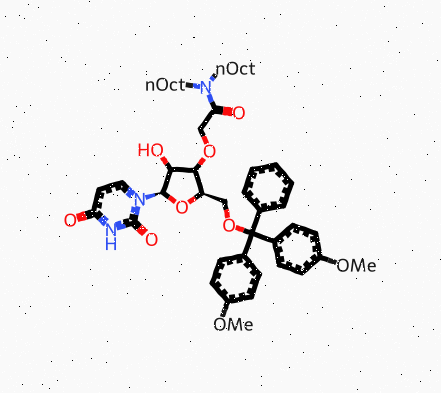 CCCCCCCCN(CCCCCCCC)C(=O)COC1C(O)[C@H](n2ccc(=O)[nH]c2=O)O[C@@H]1COC(c1ccccc1)(c1ccc(OC)cc1)c1ccc(OC)cc1